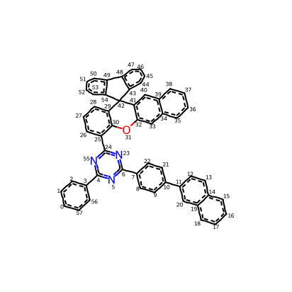 c1ccc(-c2nc(-c3ccc(-c4ccc5ccccc5c4)cc3)nc(-c3cccc4c3Oc3cc5ccccc5cc3C43c4ccccc4-c4ccccc43)n2)cc1